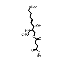 CCCCCCCCCCCCC/C=C/[C@@H](O)C(COC(=O)CCC(=O)OC(C)C)NC=O